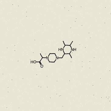 CC1NC(C)C(CN2CCN(C(C)C(=O)O)CC2)NC1C